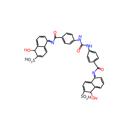 O=C(Nc1ccc(C(=O)N=C2C=CC=C3C2=CC=C(S(=O)(=O)O)C3O)cc1)Nc1ccc(C(=O)N=C2C=CC=C3C2=CC=C(S(=O)(=O)O)C3O)cc1